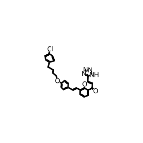 O=c1cc(-c2nnn[nH]2)oc2c(C=Cc3ccc(OCCCCc4ccc(Cl)cc4)cc3)cccc12